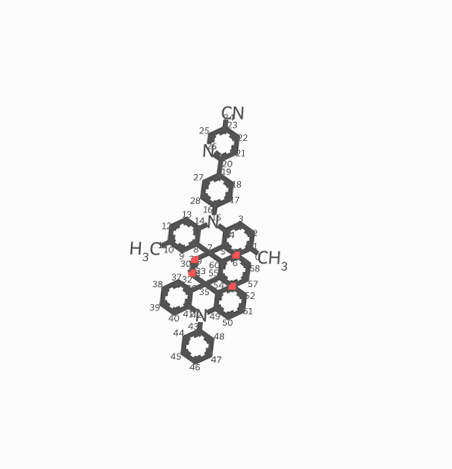 Cc1ccc2c(c1)C1(c3cc(C)ccc3N2c2ccc(-c3ccc(C#N)cn3)cc2)c2ccccc2C2(c3ccccc3N(c3ccccc3)c3ccccc32)c2ccccc21